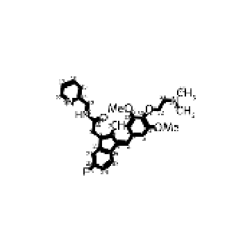 COc1cc(C=C2C(C)=C(CC(=O)NCc3ccccn3)c3cc(F)ccc32)cc(OC)c1OCCN(C)C